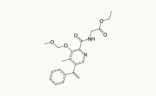 C=C(c1ccccc1)c1cnc(C(=O)NCC(=O)OCC)c(OCOC)c1C